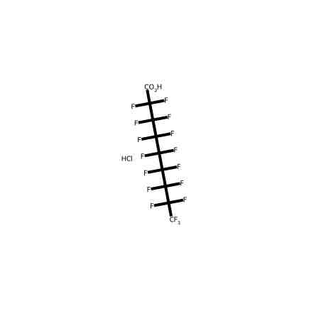 Cl.O=C(O)C(F)(F)C(F)(F)C(F)(F)C(F)(F)C(F)(F)C(F)(F)C(F)(F)C(F)(F)F